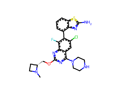 CN1CC[C@@H]1COc1nc(N2CCNCC2)c2cc(Cl)c(-c3cccc4sc(N)nc34)c(F)c2n1